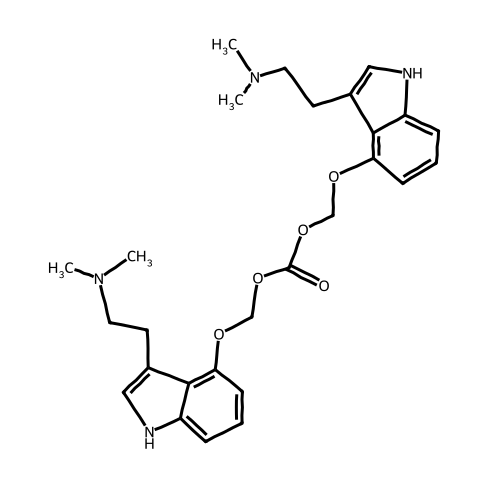 CN(C)CCc1c[nH]c2cccc(OCOC(=O)OCOc3cccc4[nH]cc(CCN(C)C)c34)c12